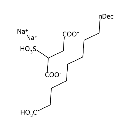 CCCCCCCCCCCCCCCCCC(=O)O.O=C([O-])CC(C(=O)[O-])S(=O)(=O)O.[Na+].[Na+]